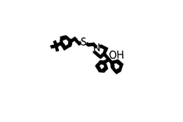 CC(C)(C)c1ccc(CCSCCN2CCC(C(O)(c3ccccc3)c3ccccc3)CC2)cc1